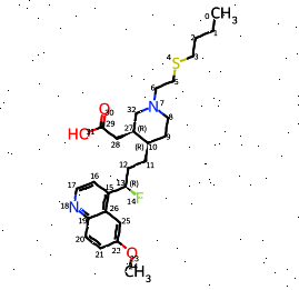 CCCCSCCN1CC[C@@H](CC[C@@H](F)c2ccnc3ccc(OC)cc23)[C@@H](CC(=O)O)C1